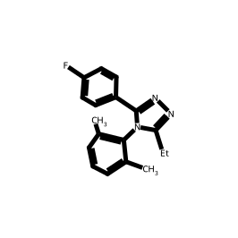 CCc1nnc(-c2ccc(F)cc2)n1-c1c(C)cccc1C